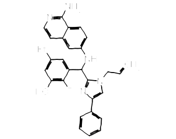 C=CCn1cc(-c2ccccc2)nc1C(Nc1ccc2c(N)nccc2c1)c1cc(CC)cc(O)c1F